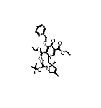 CCOC(=O)c1cn(C[C@]2(C)CC(C)CN2C(=O)OC(C)(C)C)c(C(=O)OCC)c(OCc2ccccc2)c1=O